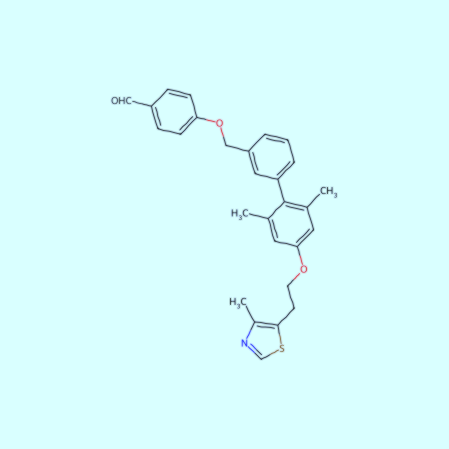 Cc1cc(OCCc2scnc2C)cc(C)c1-c1cccc(COc2ccc(C=O)cc2)c1